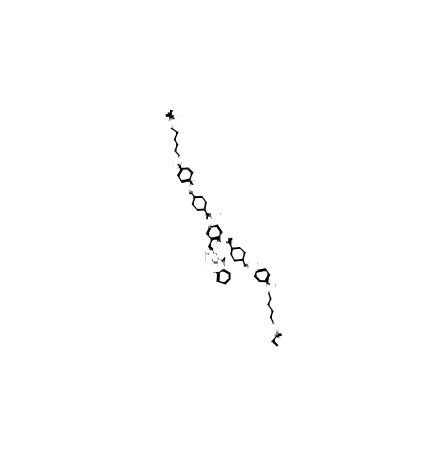 C=CC(=O)OCCCCCCOc1ccc(OC(=O)C2CCC(C(=O)Oc3ccc(OC(=O)C4CCC(C(=O)Oc5ccc(OCCCCCCOC(=O)CC)cc5)CC4)cc3/C=N/N=c3/sc4ccccc4n3C)CC2)cc1